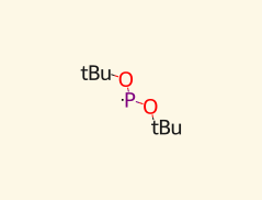 CC(C)(C)O[P]OC(C)(C)C